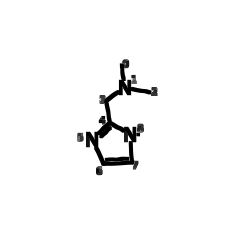 CN(C)CC1=NC=C[N]1